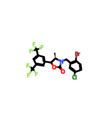 C[C@H]1C(c2cc(C(F)(F)F)cc(C(F)(F)F)c2)OC(=O)N1Cc1cc(Cl)ccc1Br